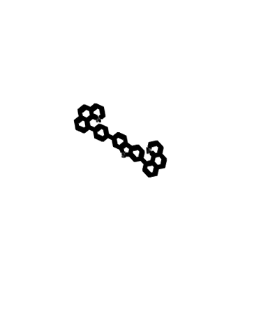 c1cnc2c(c1)ccc1cccc(-c3ccc(-c4ccc5c(c4)sc4cc(-c6cccc7ccc8cccnc8c67)ccc45)cc3)c12